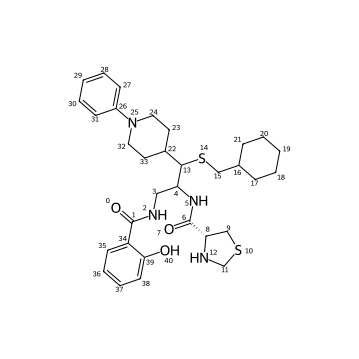 O=C(NCC(NC(=O)[C@@H]1CSCN1)C(SCC1CCCCC1)C1CCN(c2ccccc2)CC1)c1ccccc1O